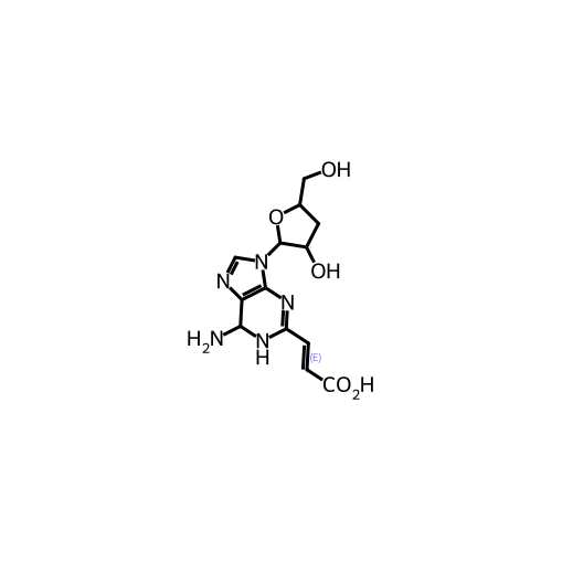 NC1NC(/C=C/C(=O)O)=Nc2c1ncn2C1OC(CO)CC1O